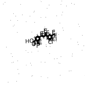 O=C(O)c1ccc(C(F)=CC(c2cc(Cl)c(Cl)c(C(F)F)c2)C(F)(F)F)cc1C(F)(F)F